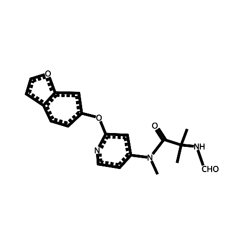 CN(C(=O)C(C)(C)NC=O)c1ccnc(Oc2ccc3ccoc3c2)c1